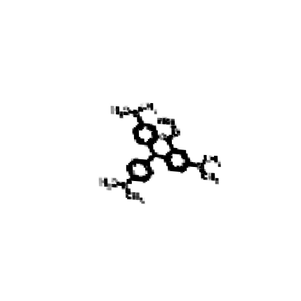 CCCCOC(=O)c1cc(N(C)C)ccc1C(c1ccc(N(C)C)cc1)c1ccc(N(C)C)cc1